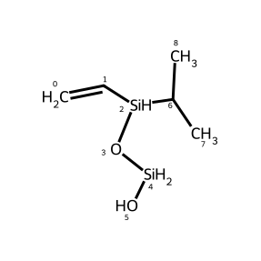 C=C[SiH](O[SiH2]O)C(C)C